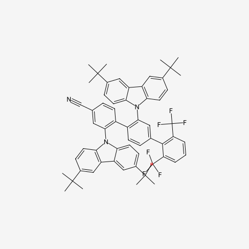 CC(C)(C)c1ccc2c(c1)c1cc(C(C)(C)C)ccc1n2-c1cc(C#N)ccc1-c1ccc(-c2c(C(F)(F)F)cccc2C(F)(F)F)cc1-n1c2ccc(C(C)(C)C)cc2c2cc(C(C)(C)C)ccc21